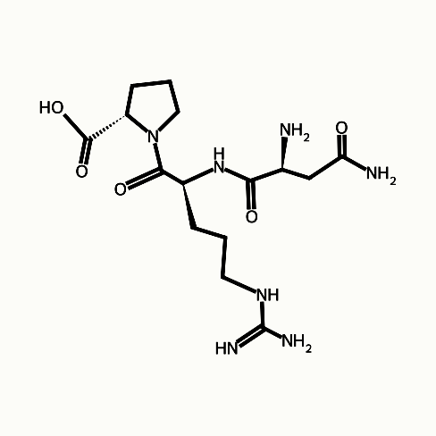 N=C(N)NCCC[C@H](NC(=O)[C@@H](N)CC(N)=O)C(=O)N1CCC[C@H]1C(=O)O